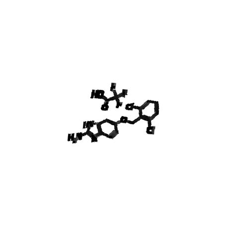 Nc1nc2ccc(OCc3c(Cl)cccc3Cl)cc2[nH]1.O=C(O)C(F)(F)F